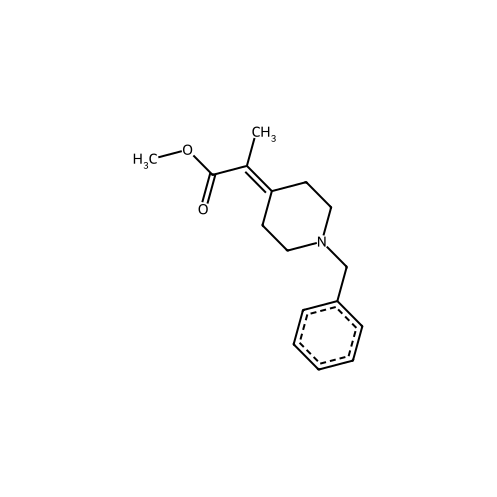 COC(=O)C(C)=C1CCN(Cc2ccccc2)CC1